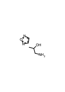 CC(O)CN.c1cnon1